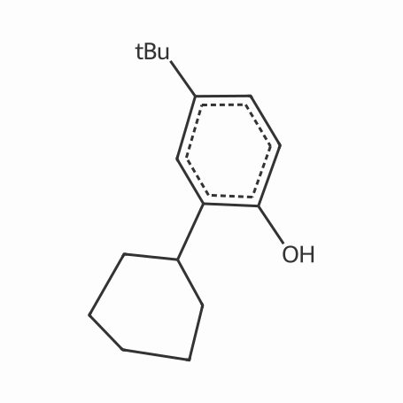 CC(C)(C)c1ccc(O)c(C2CCCCC2)c1